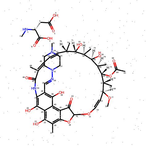 CN[C@H](CC(=O)O)C(=O)O.CO[C@H]1/C=C\O[C@@]2(C)Oc3c(C)c(O)c4c(O)c(c(/C=N/N5CCN(C)CC5)c(O)c4c3C2=O)NC(=O)/C(C)=C\C=C/[C@H](C)[C@H](O)[C@@H](C)[C@@H](O)[C@@H](C)[C@H](OC(C)=O)[C@@H]1C